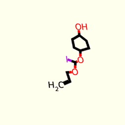 C=CCOC(I)OC1CCC(O)CC1